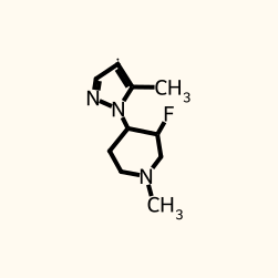 Cc1[c]cnn1C1CCN(C)CC1F